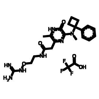 Cc1[nH]c(=O)c(N(C)C2(c3ccccc3)CCC2)nc1CC(=O)NCCONC(=N)N.O=C(O)C(F)(F)F